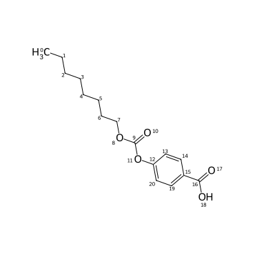 CCCCCCCCOC(=O)Oc1ccc(C(=O)O)cc1